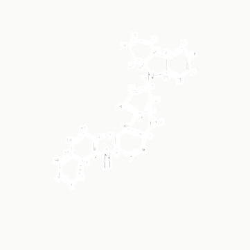 c1ccc2c(Nc3ccc4oc5cc(-n6c7ccccc7c7ccccc76)ccc5c4c3)cccc2c1